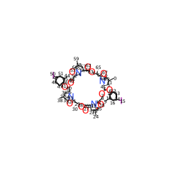 CC(C)=C[C@H]1C(=O)O[C@H](Cc2cccc(I)c2)C(=O)N(C)[C@@H](CC(C)C)C(=O)O[C@H](C)C(=O)N(C)[C@@H](CC(C)C)C(=O)O[C@H](Cc2cccc(I)c2)C(=O)N(C)[C@@H](CC(C)C)C(=O)O[C@H](C)C(=O)N1C